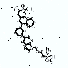 CC(Cc1cc(-c2cccc(-c3cnc4c(c3)ncn4COCC[Si](C)(C)C)c2)c2ncccc2c1)S(C)(=O)=O